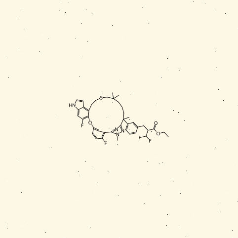 CCOC(=O)C(Cc1cccc(C2(C)CCCC(C)(C)CSCCc3c(c(F)cc4[nH]ccc34)Oc3ccc(F)c(c3)-c3nc2nn3C)c1)C(F)F